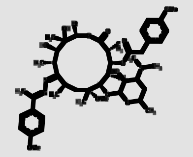 CC[C@H]1OC(=O)[C@H](C)[C@@H](OC(=O)Cc2ccc(OC)cc2)[C@H](C)[C@@H](OC2OC(C)CC(N(C)C)C2O)[C@](C)(OC)C[C@@H](C)/C(=N\N=C(/C)c2ccc(OC)cc2)[C@H](C)[C@@H](O)[C@]1(C)O